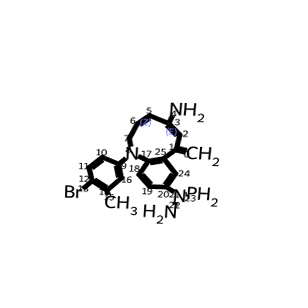 C=C1/C=C(N)\C=C/CN(c2ccc(Br)c(C)c2)c2ccc(N(N)P)cc21